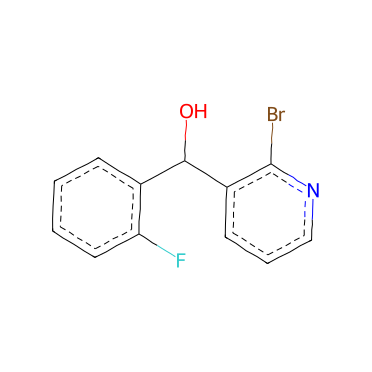 OC(c1ccccc1F)c1cccnc1Br